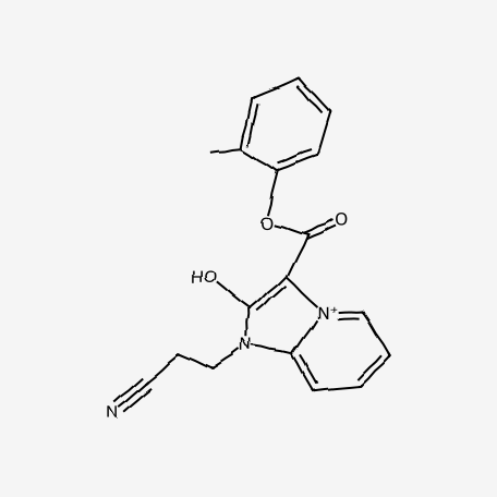 Cc1ccccc1OC(=O)c1c(O)n(CCC#N)c2cccc[n+]12